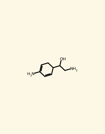 NCC(O)C1C=CC(N)=CC1